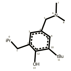 CC(C)Cc1cc(CN(C)C)cc(C(C)(C)C)c1O